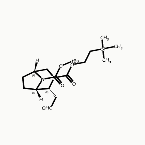 CC(C)(C)OC(=O)N1[C@@H]2CC[C@H]1[C@@H](CC=O)N(C(=O)OCC[Si](C)(C)C)C2